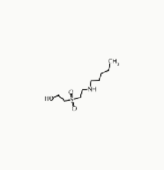 CCCCCNCCS(=O)(=O)CCO